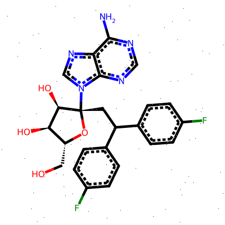 Nc1ncnc2c1ncn2[C@]1(CC(c2ccc(F)cc2)c2ccc(F)cc2)O[C@H](CO)[C@@H](O)[C@H]1O